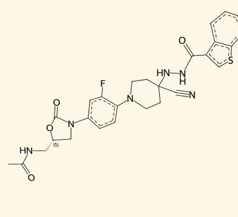 CC(=O)NC[C@H]1CN(c2ccc(N3CCC(C#N)(NNC(=O)c4csc5ccccc45)CC3)c(F)c2)C(=O)O1